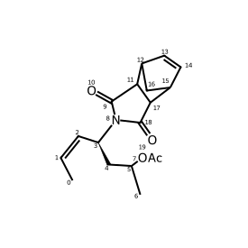 C/C=C\[C@H](CC(C)OC(C)=O)N1C(=O)C2C3C=CC(C3)C2C1=O